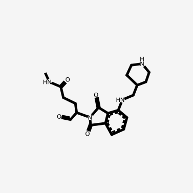 CNC(=O)CCC(C=O)N1C(=O)c2cccc(NCC3CCNCC3)c2C1=O